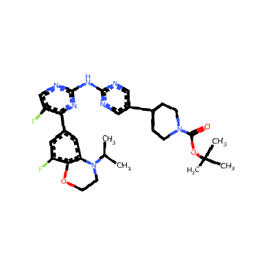 CC(C)N1CCOc2c(F)cc(-c3nc(Nc4ncc(C5CCN(C(=O)OC(C)(C)C)CC5)cn4)ncc3F)cc21